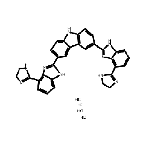 Cl.Cl.Cl.Cl.c1cc(C2=NCCN2)c2nc(-c3ccc4[nH]c5ccc(-c6nc7c(C8=NCCN8)cccc7[nH]6)cc5c4c3)[nH]c2c1